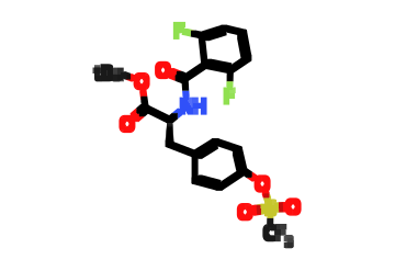 CC(C)(C)OC(=O)[C@H](Cc1ccc(OS(=O)(=O)C(F)(F)F)cc1)NC(=O)c1c(F)cccc1F